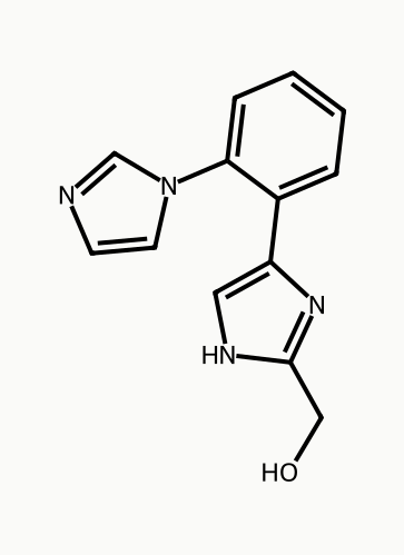 OCc1nc(-c2ccccc2-n2ccnc2)c[nH]1